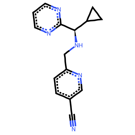 N#Cc1ccc(CN[C@@H](c2ncccn2)C2CC2)nc1